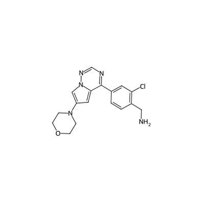 NCc1ccc(-c2ncnn3cc(N4CCOCC4)cc23)cc1Cl